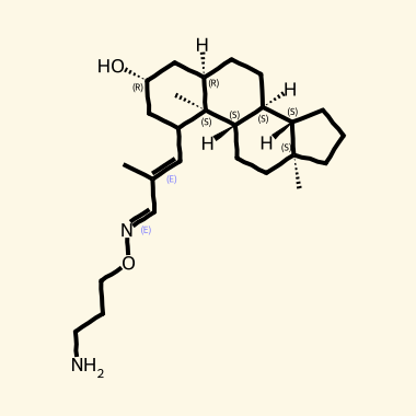 CC(/C=N/OCCCN)=C\C1C[C@H](O)C[C@H]2CC[C@H]3[C@@H]4CCC[C@@]4(C)CC[C@@H]3[C@@]12C